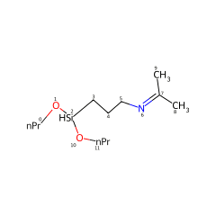 CCCO[SiH](CCCN=C(C)C)OCCC